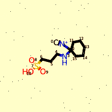 [C-]#[N+]C1(NCCCS(=O)(=O)O)CCCCC1